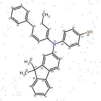 CC/C=C(\C=C/Cc1ccccc1)N(c1ccc(S)cc1)c1ccc2c(c1)C(C)(C)c1ccccc1-2